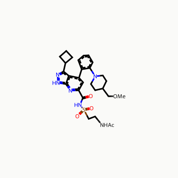 COCC1CCN(c2ccccc2-c2cc(C(=O)NS(=O)(=O)CCNC(C)=O)nc3[nH]nc(C4CCC4)c23)CC1